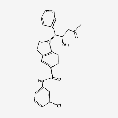 CNC[C@@H](O)[C@H](c1ccccc1)N1CCc2cc(C(=O)Nc3cccc(Cl)c3)ccc21